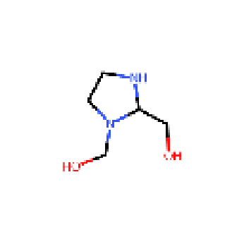 OCC1NCCN1CO